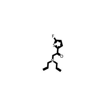 C=CCN(CC=C)CC(=O)c1ccc(F)s1